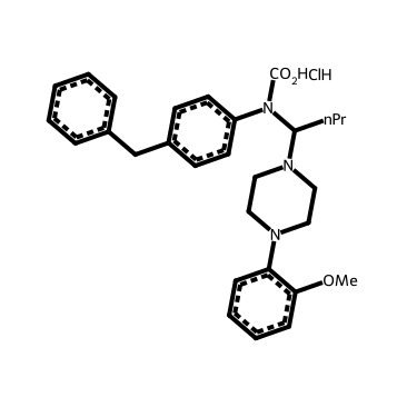 CCCC(N1CCN(c2ccccc2OC)CC1)N(C(=O)O)c1ccc(Cc2ccccc2)cc1.Cl